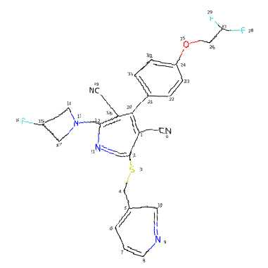 N#Cc1c(SCc2cccnc2)nc(N2CC(F)C2)c(C#N)c1-c1ccc(OCC(F)F)cc1